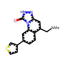 CNCc1cc2n[nH]c(=O)n2c2cc(-c3ccsc3)ccc12